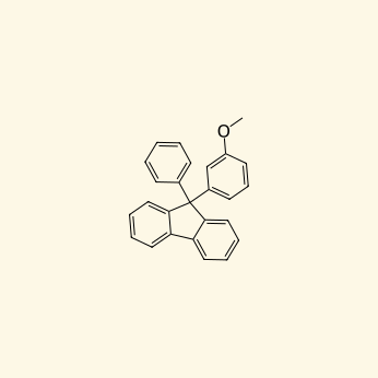 COc1cccc(C2(c3ccccc3)c3ccccc3-c3ccccc32)c1